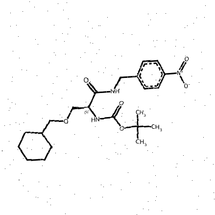 CC(C)(C)OC(=O)N[C@@H](COCC1CCCCC1)C(=O)NCc1ccc([N+](=O)[O-])cc1